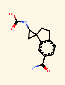 NC(=O)c1ccc2c(c1)C1(CC2)CC1NC(=O)O